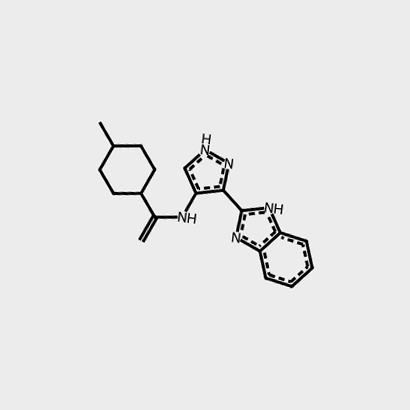 C=C(Nc1c[nH]nc1-c1nc2ccccc2[nH]1)C1CCC(C)CC1